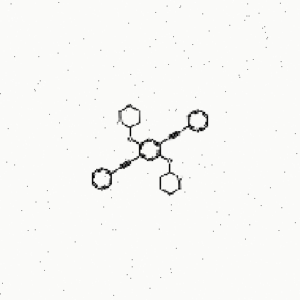 C(#Cc1cc(OC2CCCCO2)c(C#Cc2ccccc2)cc1OC1CCCCO1)c1ccccc1